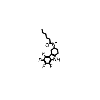 CCCCCC(=O)N(C)C1CCc2[nH]c3c(F)c(F)c(F)c(F)c3c2C1